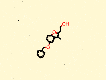 Cc1c(CCO)oc2ccc(OCc3ccccc3)cc12